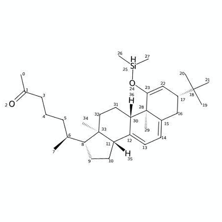 CC(=O)CCC[C@H](C)[C@H]1CC[C@H]2C3=CC=C4C[C@@H](C(C)(C)C)C=C(O[SiH](C)C)[C@]4(C)[C@H]3CC[C@]12C